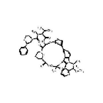 CCn1c(-c2cccnc2[C@H](C)OC)c2c3cc(ccc31)-c1csc(n1)C[C@H](NC(=O)C(C(C)C)N(C)C(=O)N1CCO[C@H](c3ccccc3)C1)C(=O)N1CCC[C@H](N1)C(=O)OCC(C)(C)C2